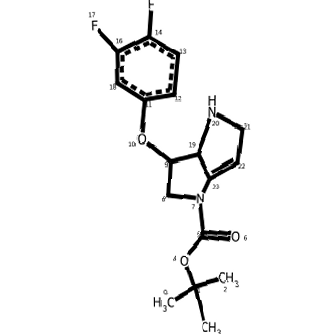 CC(C)(C)OC(=O)N1CC(Oc2ccc(F)c(F)c2)C2NCC=C21